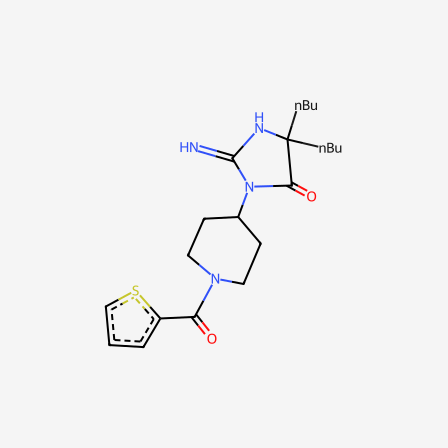 CCCCC1(CCCC)NC(=N)N(C2CCN(C(=O)c3cccs3)CC2)C1=O